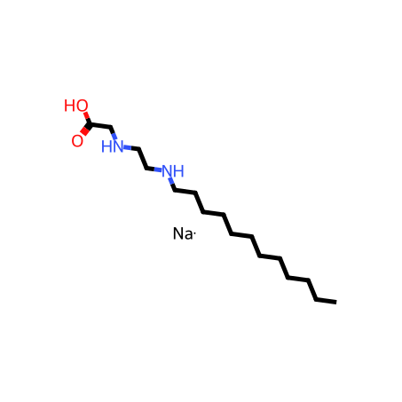 CCCCCCCCCCCCNCCNCC(=O)O.[Na]